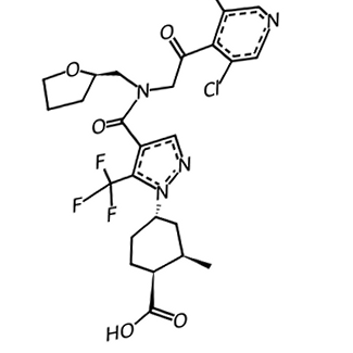 C[C@@H]1C[C@@H](n2ncc(C(=O)N(CC(=O)c3c(Cl)cncc3Cl)C[C@H]3CCCO3)c2C(F)(F)F)CC[C@@H]1C(=O)O